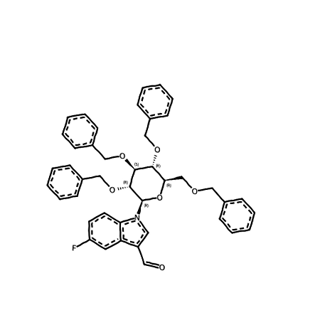 O=Cc1cn([C@@H]2O[C@H](COCc3ccccc3)[C@@H](OCc3ccccc3)[C@H](OCc3ccccc3)[C@H]2OCc2ccccc2)c2ccc(F)cc12